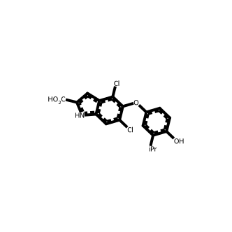 CC(C)c1cc(Oc2c(Cl)cc3[nH]c(C(=O)O)cc3c2Cl)ccc1O